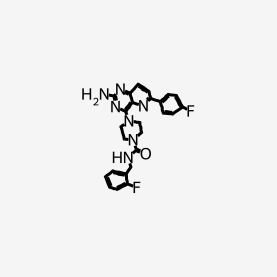 Nc1nc(N2CCN(C(=O)NCc3ccccc3F)CC2)c2nc(-c3ccc(F)cc3)ccc2n1